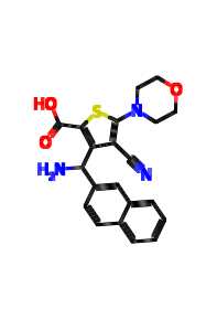 N#Cc1c(N2CCOCC2)sc(C(=O)O)c1C(N)c1ccc2ccccc2c1